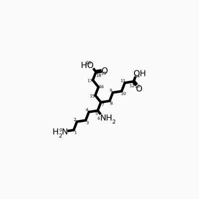 NCCCCC(N)C(CCCCC(=O)O)CCCC(=O)O